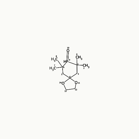 CC1(C)CC2(CC(C)(C)[PH]1=O)OCCO2